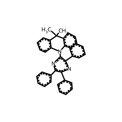 CC1(C)c2ccccc2N(c2nc(-c3ccccc3)c(-c3ccccc3)nc2-c2ccccc2)c2ccccc21